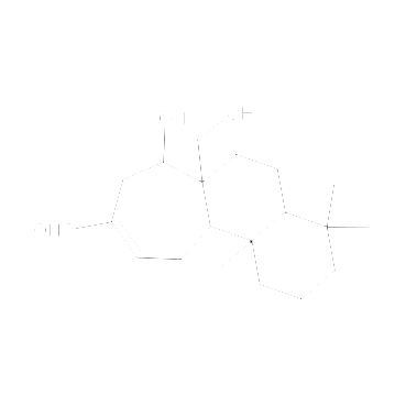 CC1(C)CCCC2(C)C1CCC1(CO)C(O)CC(C=O)=CCC21